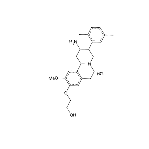 COc1cc2c(cc1OCCO)CCN1CC(c3cc(C)ccc3C)C(N)CC21.Cl